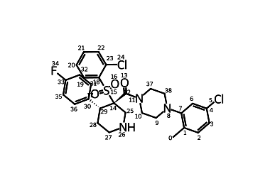 Cc1ccc(Cl)cc1N1CCN(C(=O)[C@@]2(S(=O)(=O)c3ccccc3Cl)CNCC[C@@H]2c2ccc(F)cc2)CC1